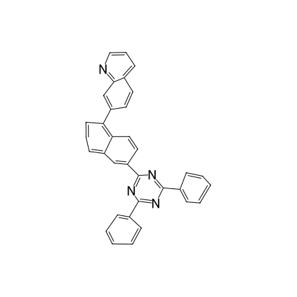 c1ccc(-c2nc(-c3ccccc3)nc(-c3ccc4c(-c5ccc6cccnc6c5)cccc4c3)n2)cc1